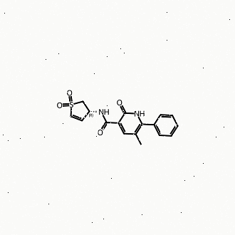 Cc1cc(C(=O)N[C@@H]2C=CS(=O)(=O)C2)c(=O)[nH]c1-c1ccccc1